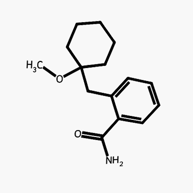 COC1(Cc2ccccc2C(N)=O)CCCCC1